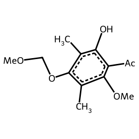 COCOc1c(C)c(O)c(C(C)=O)c(OC)c1C